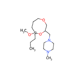 CCC[Si]1(OC)CCCOCC(CN2CCN(C)CC2)O1